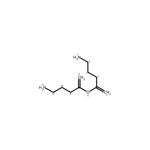 C=C(CCCN)OC(=C)CCCN